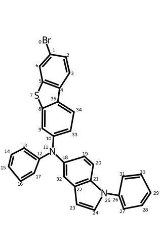 Brc1ccc2c(c1)sc1cc(N(c3ccccc3)c3ccc4c(ccn4-c4ccccc4)c3)ccc12